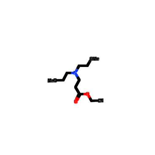 COCCN(CCOC)CCC(=O)OCC#N